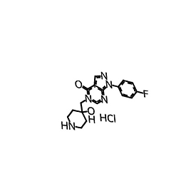 Cl.O=c1c2cnn(-c3ccc(F)cc3)c2ncn1CC1(O)CCNCC1